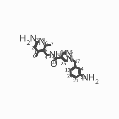 Cc1cc(N)nc(C)c1CNC(=O)c1cnn(Cc2cccc(N)c2)c1